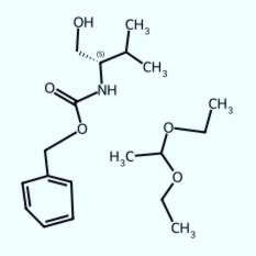 CC(C)[C@@H](CO)NC(=O)OCc1ccccc1.CCOC(C)OCC